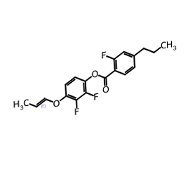 C/C=C/Oc1ccc(OC(=O)c2ccc(CCC)cc2F)c(F)c1F